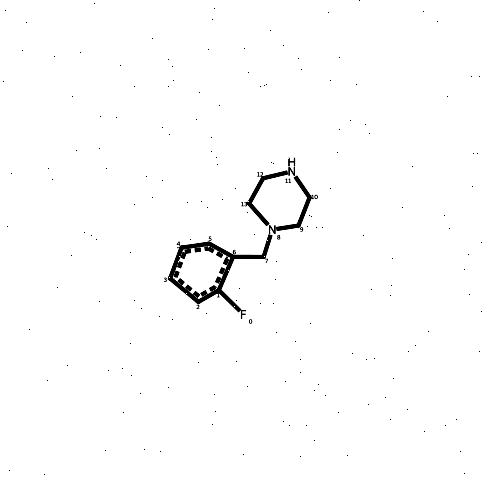 Fc1cc[c]cc1CN1CCNCC1